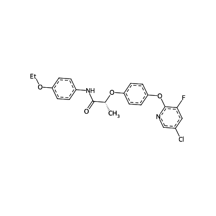 CCOc1ccc(NC(=O)[C@@H](C)Oc2ccc(Oc3ncc(Cl)cc3F)cc2)cc1